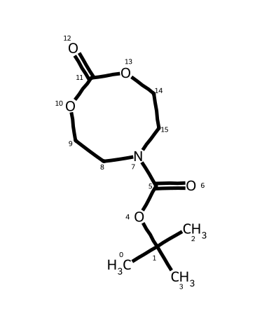 CC(C)(C)OC(=O)N1CCOC(=O)OCC1